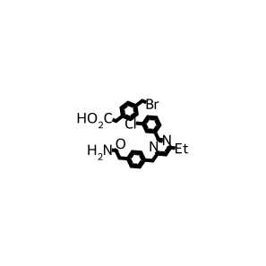 CCc1cc(Cc2ccc(CC(N)=O)cc2)nc(-c2cccc(Cl)c2)n1.O=C(O)Cc1ccc(CBr)cc1